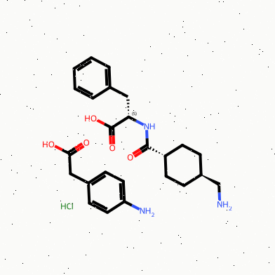 Cl.NC[C@H]1CC[C@H](C(=O)N[C@@H](Cc2ccccc2)C(=O)O)CC1.Nc1ccc(CC(=O)O)cc1